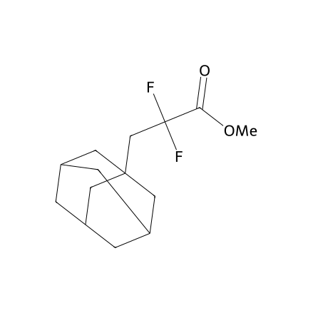 COC(=O)C(F)(F)CC12CC3CC(CC(C3)C1)C2